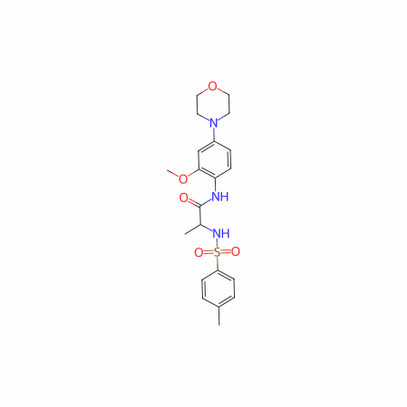 COc1cc(N2CCOCC2)ccc1NC(=O)C(C)NS(=O)(=O)c1ccc(C)cc1